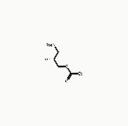 CCC(=O)OC[C@H](C)CNC